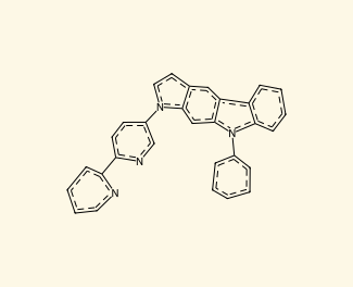 c1ccc(-n2c3ccccc3c3cc4ccn(-c5ccc(-c6ccccn6)nc5)c4cc32)cc1